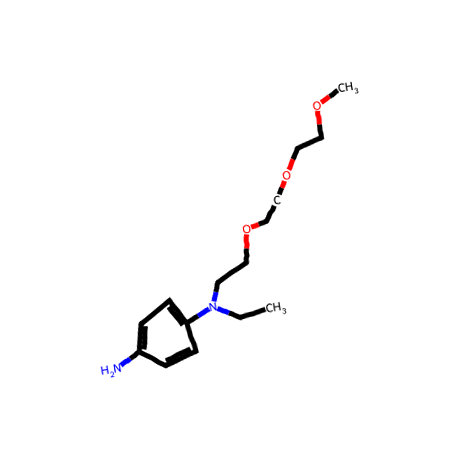 CCN(CCOCCOCCOC)c1ccc(N)cc1